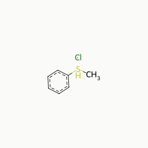 C[SH](Cl)c1ccccc1